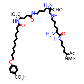 CN[C@@H](CCCCNC(=O)[C@@H](N)CCCCNCC(N)(C=O)CCCCNC(=O)CC[C@H](NC(=O)CCCCCCCCCCOc1ccc(C(=O)O)cc1)C(=O)O)C(C)=O